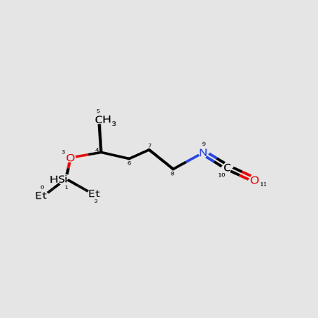 CC[SiH](CC)OC(C)CCCN=C=O